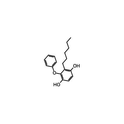 CCCCCCc1c(O)ccc(O)c1Oc1ccccc1